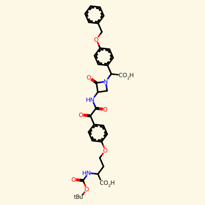 CC(C)(C)OC(=O)NC(CCOc1ccc(C(=O)C(=O)NC2CN(C(C(=O)O)c3ccc(OCc4ccccc4)cc3)C2=O)cc1)C(=O)O